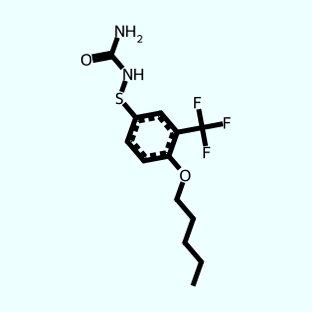 CCCCCOc1ccc(SNC(N)=O)cc1C(F)(F)F